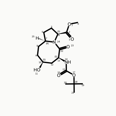 COC(=O)[C@@H]1CC[C@@H]2CC[C@H](O)C[C@H](NC(=O)OC(C)(C)C)C(=O)N21